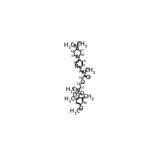 COc1cc(C)c(S(=O)(=O)N(C)CCOCC(=O)N(C)Cc2ccc(N3CCC(N(C)C)CC3)cn2)c(C)c1